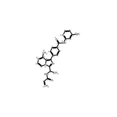 C=CC(=O)NC(C)c1nc(-c2ccc(C(=O)Nc3cc(CCC)ccn3)cc2)c2c(C)nccn12